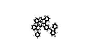 c1ccc(-c2nc(-n3c4ccc(-n5c6ccccc6c6ccccc65)cc4c4c5ccccc5c5nc6ccccc6n5c43)nc3ccccc23)cc1